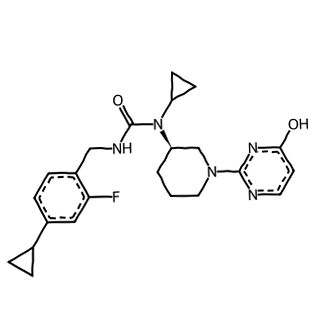 O=C(NCc1ccc(C2CC2)cc1F)N(C1CC1)[C@@H]1CCCN(c2nccc(O)n2)C1